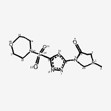 CN1CC(=O)N(c2nnc(S(=O)(=O)N3CCOCC3)s2)C1